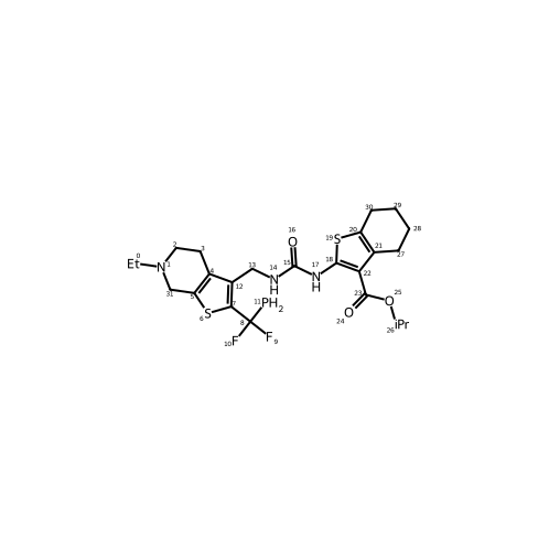 CCN1CCc2c(sc(C(F)(F)P)c2CNC(=O)Nc2sc3c(c2C(=O)OC(C)C)CCCC3)C1